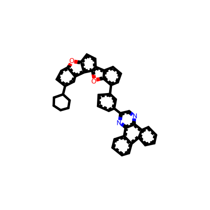 c1cc(-c2cnc3c4ccccc4c4ccccc4c3n2)cc(-c2cccc3c2oc2c3ccc3oc4ccc(C5CCCCC5)cc4c32)c1